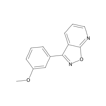 COc1cccc(-c2noc3ncccc23)c1